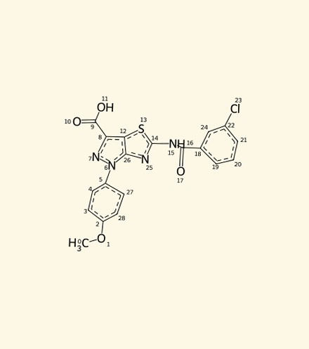 COc1ccc(-n2nc(C(=O)O)c3sc(NC(=O)c4cccc(Cl)c4)nc32)cc1